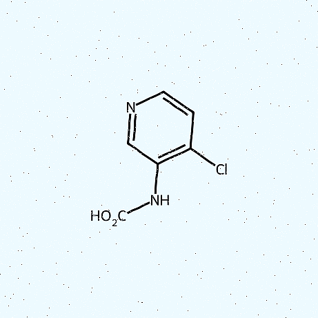 O=C(O)Nc1cnccc1Cl